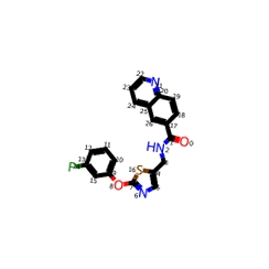 O=C(NCc1cnc(Oc2cccc(F)c2)s1)c1ccc2ncccc2c1